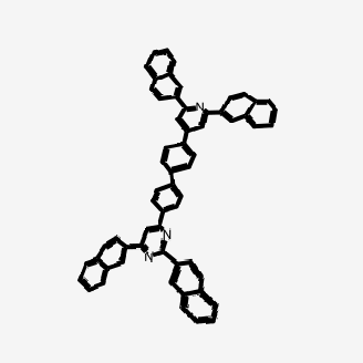 c1ccc2cc(-c3cc(-c4ccc(-c5ccc(-c6cc(-c7ccc8ccccc8c7)nc(-c7ccc8ccccc8c7)n6)cc5)cc4)cc(-c4ccc5ccccc5c4)n3)ccc2c1